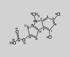 Cn1c2cc(Cl)cc(Cl)c2c2cc(OC(=O)O)sc21